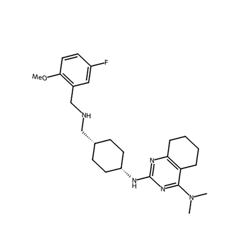 COc1ccc(F)cc1CNC[C@H]1CC[C@@H](Nc2nc3c(c(N(C)C)n2)CCCC3)CC1